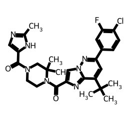 Cc1ncc(C(=O)N2CCN(C(=O)c3cn4nc(-c5ccc(Cl)c(F)c5)cc(C(C)(C)C)c4n3)C(C)(C)C2)[nH]1